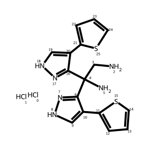 Cl.Cl.NCC(N)(c1n[nH]cc1-c1cccs1)c1n[nH]cc1-c1cccs1